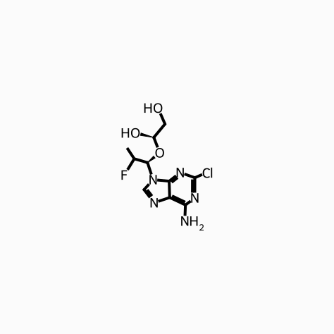 CC(F)[C@@H](O[C@@H](O)CO)n1cnc2c(N)nc(Cl)nc21